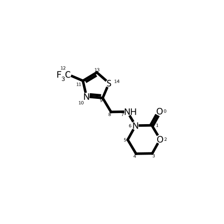 O=C1OCCCN1NCc1nc(C(F)(F)F)cs1